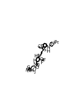 COC(=O)C(CCC(N)=O)NC(=O)c1ccc(NCC#Cc2sc3c(NC4CCN(C(C)C)CC4)cccc3c2CC(F)(F)F)c(OC(F)F)c1